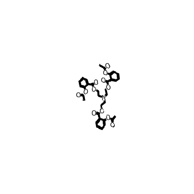 CC(=O)Oc1ccccc1C(=O)OCCN(CCOC(=O)c1ccccc1OC(C)=O)CCOC(=O)c1ccccc1OC(C)=O